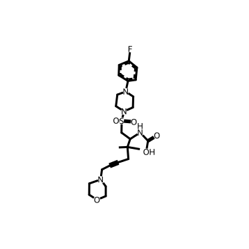 CC(C)(CC#CCN1CCOCC1)C(CS(=O)(=O)N1CCN(c2ccc(F)cc2)CC1)NC(=O)O